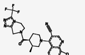 COc1cccc2c(N3CC[C@H](C(=O)N4CCn5c(nnc5C(F)(F)F)C4)[C@H](C)C3)c(C#N)cnc12